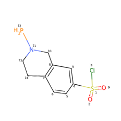 O=S(=O)(Cl)c1ccc2c(c1)CN(P)CC2